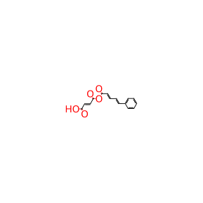 O=C(O)C=CC(=O)OC(=O)C=CC=Cc1ccccc1